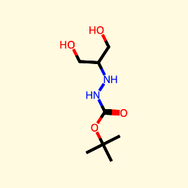 CC(C)(C)OC(=O)NNC(CO)CO